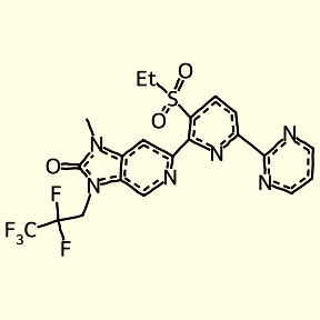 CCS(=O)(=O)c1ccc(-c2ncccn2)nc1-c1cc2c(cn1)n(CC(F)(F)C(F)(F)F)c(=O)n2C